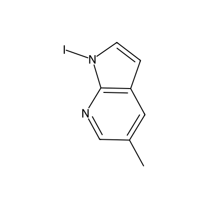 Cc1cnc2c(ccn2I)c1